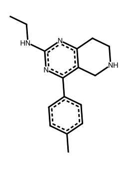 CCNc1nc2c(c(-c3ccc(C)cc3)n1)CNCC2